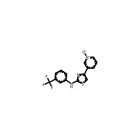 [O-][n+]1cccc(-c2csc(Nc3cccc(C(F)(F)F)c3)n2)c1